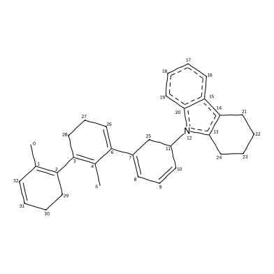 CC1=C(C2=C(C)C(C3=CC=CC(n4c5c(c6ccccc64)CCCC5)C3)=CCC2)CCC=C1